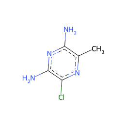 Cc1nc(Cl)c(N)nc1N